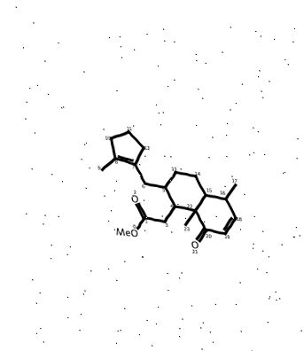 COC(=O)CC1C(CC2=C(C)CCC2)CCC2C(C)C=CC(=O)C21C